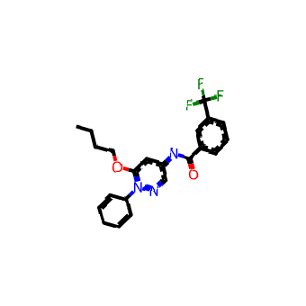 CCCCOc1cc(=NC(=O)c2cccc(C(F)(F)F)c2)cnn1C1C=CCC=C1